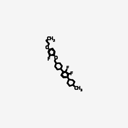 C=CCOc1ccc(OCC2CCC(c3ccc(C4CCC(C)CC4)c(F)c3F)CC2)c(F)c1